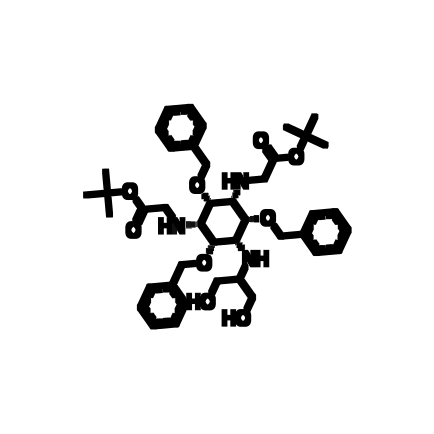 CC(C)(C)OC(=O)CN[C@@H]1[C@H](OCc2ccccc2)[C@H](NCC(=O)OC(C)(C)C)[C@H](OCc2ccccc2)[C@H](NC(CO)CO)[C@@H]1OCc1ccccc1